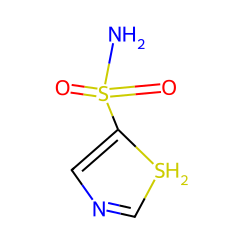 NS(=O)(=O)C1=CN=C[SH2]1